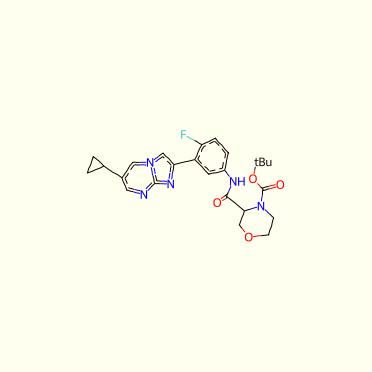 CC(C)(C)OC(=O)N1CCOCC1C(=O)Nc1ccc(F)c(-c2cn3cc(C4CC4)cnc3n2)c1